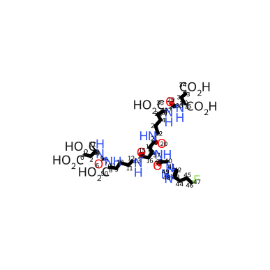 O=C(O)CC[C@H](NC(=O)N[C@@H](CCCCNC(=O)CC(CC(=O)NCCCC[C@H](NC(=O)N[C@@H](CCC(=O)O)C(=O)O)C(=O)O)NC(=O)Cn1cc(CCCF)nn1)C(=O)O)C(=O)O